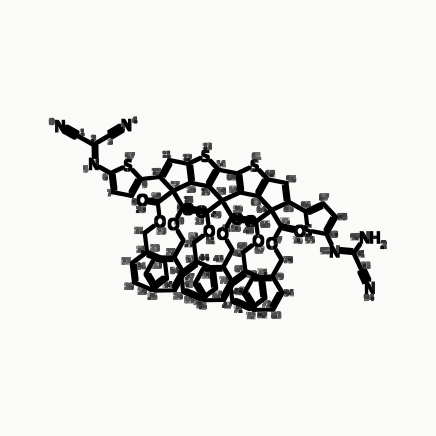 N#CC(C#N)=Nc1ccc(C2=Cc3sc4c(c3C2(C(=O)OCc2ccccc2)C(=O)OCc2ccccc2)C(C(=O)OCc2ccccc2)(C(=O)OCc2ccccc2)c2c-4sc3c2C(C(=O)OCc2ccccc2)(C(=O)OCc2ccccc2)C(c2ccc(/N=C(\N)C#N)s2)=C3)s1